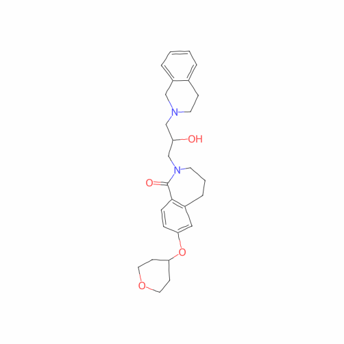 O=C1c2ccc(OC3CCOCC3)cc2CCCN1CC(O)CN1CCc2ccccc2C1